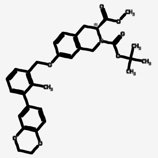 COC(=O)[C@@H]1Cc2ccc(OCc3cccc(-c4ccc5c(c4)OCCO5)c3C)cc2CN1C(=O)OC(C)(C)C